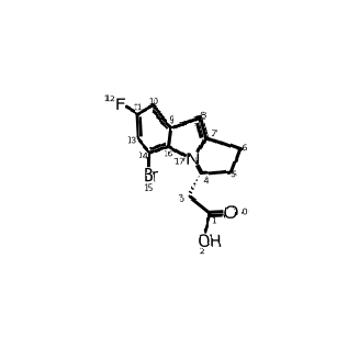 O=C(O)C[C@H]1CCc2cc3cc(F)cc(Br)c3n21